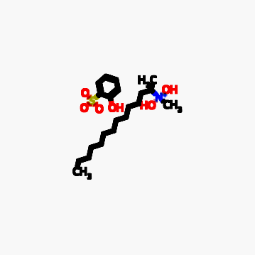 CCCCCCCCCCCCC(C)[N+](C)(O)O.O=S(=O)([O-])c1ccccc1O